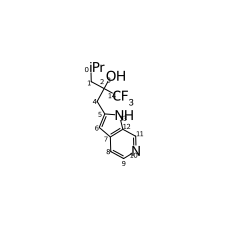 CC(C)CC(O)(Cc1cc2ccncc2[nH]1)C(F)(F)F